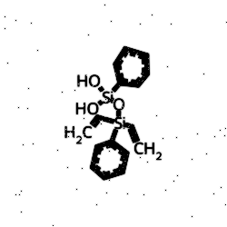 C=C[Si](C=C)(O[Si](O)(O)c1ccccc1)c1ccccc1